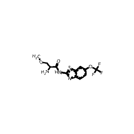 COCC(N)C(=O)Nc1nc2ccc(OC(F)(F)F)cc2s1